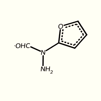 NN([C]=O)c1ccco1